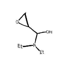 CCN(CC)C(O)C1CO1